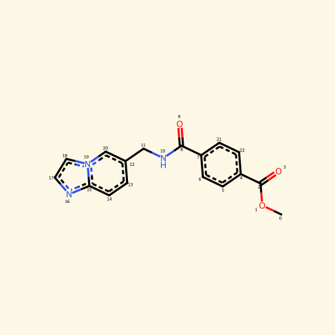 COC(=O)c1ccc(C(=O)NCc2ccc3nccn3c2)cc1